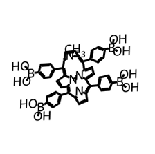 C[n+]1c2c(-c3ccc(B(O)O)cc3)c3ccc4c(-c5ccc(B(O)O)cc5)c5nc(c(-c6ccc(B(O)O)cc6)c6ccc(c(-c7ccc(B(O)O)cc7)c1C=C2)n6n43)C=C5